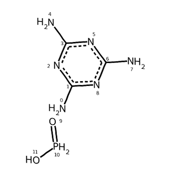 Nc1nc(N)nc(N)n1.O=[PH2]O